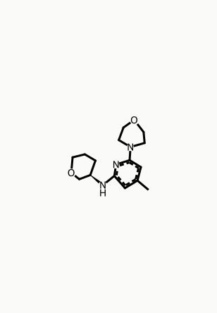 Cc1cc(N[C@@H]2CCCOC2)nc(N2CCOCC2)c1